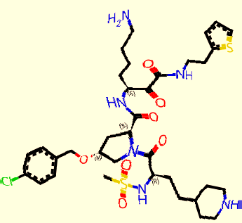 CS(=O)(=O)N[C@H](CCC1CCNCC1)C(=O)N1C[C@H](OCc2ccc(Cl)cc2)C[C@H]1C(=O)N[C@@H](CCCCN)C(=O)C(=O)NCCc1cccs1